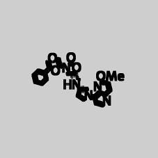 COc1ccc2nccc(N3CC[C@H](NC[C@@H]4CN(C5=COC=C(C6=CC=CCC6)O5)C(=O)O4)C3)c2n1